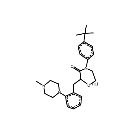 CN1CCN(c2ccccc2CC2OCCN(c3ccc(C(C)(C)C)cc3)C2=O)CC1.Cl